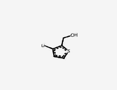 [Li][c]1ccsc1CO